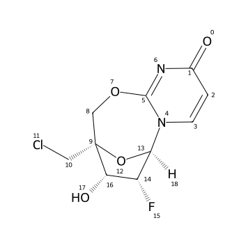 O=c1ccn2c(n1)OC[C@@]1(CCl)O[C@@H]2[C@H](F)[C@@H]1O